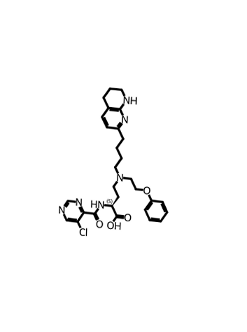 O=C(N[C@@H](CCN(CCCCc1ccc2c(n1)NCCC2)CCOc1ccccc1)C(=O)O)c1ncncc1Cl